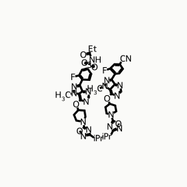 CC(C)c1noc(N2CCC(Oc3ncnc4c(-c5ccc(C#N)cc5F)nn(C)c34)CC2)n1.CCC(=O)NS(=O)(=O)c1ccc(-c2nn(C)c3c(OC4CCN(c5nc(C(C)C)no5)CC4)ncnc23)c(F)c1